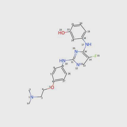 CN(C)CCOc1ccc(Nc2ncc(F)c(Nc3cccc(O)c3)n2)cc1